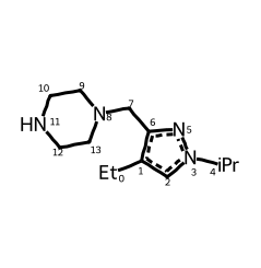 CCc1cn(C(C)C)nc1CN1CCNCC1